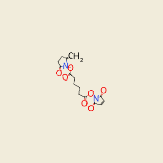 C=C1CCC(=O)N1OC(=O)CCCCC(=O)ON1C(=O)C=CC1=O